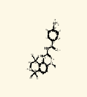 COc1ccc2c(c1NC(=S)NC(=O)c1ccc(N)cc1)C(C)(C)COC2(C)C